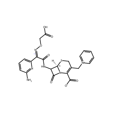 Nc1cccc(/C(=N/OCC(=O)O)C(=O)NC2C(=O)N3C(C(=O)[O-])=C(C[n+]4ccccc4)CS[C@H]23)n1